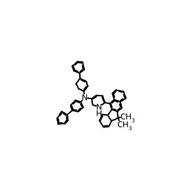 CC1(C)c2cc3ccccc3c(C3=CC=C(N(C4=CC=C(c5ccccc5)CC4)c4ccc(-c5ccccc5)cc4)CN3)c2C2C=CC=CC21